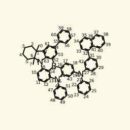 CC12CCCCC1(C)N1c3cccc4c3B(c3ccc(N(c5ccccc5)c5cccc(-c6cccc7ccccc67)c5)cc3N4c3ccccc3)c3cc(-c4ccccc4)cc2c31